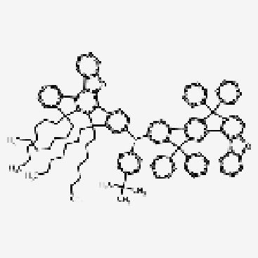 CCCCCCCC1(CCCCCCC)c2cc(N(c3ccc(C(C)(C)C)cc3)c3ccc4c(c3)C(c3ccccc3)(c3ccccc3)c3cc5c(cc3-4)C(c3ccccc3)(c3ccccc3)c3ccc4oc6ccccc6c4c3-5)ccc2-c2c1c1c(c3c2oc2ccccc23)-c2ccccc2C1(CCCCCCC)CCCCCCC